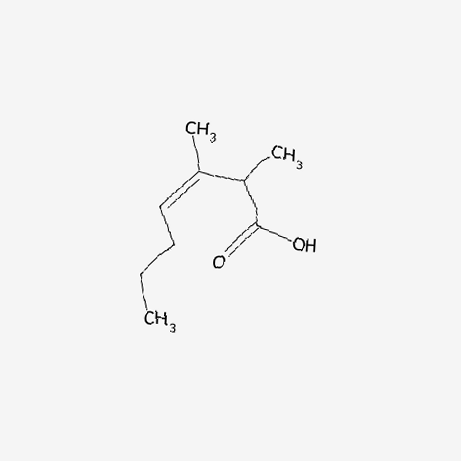 CCCC=C(C)C(C)C(=O)O